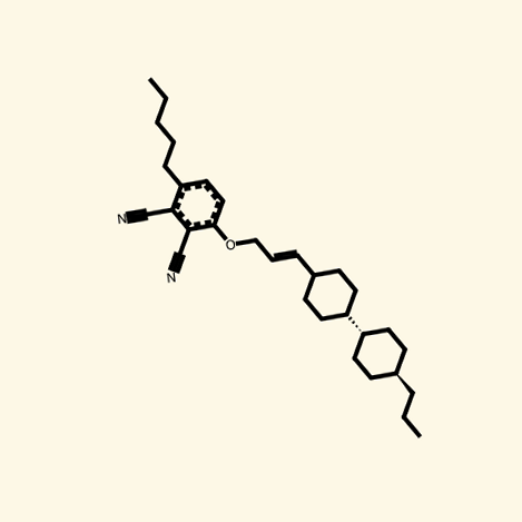 CCCCCc1ccc(OC/C=C/C2CCC([C@H]3CC[C@H](CCC)CC3)CC2)c(C#N)c1C#N